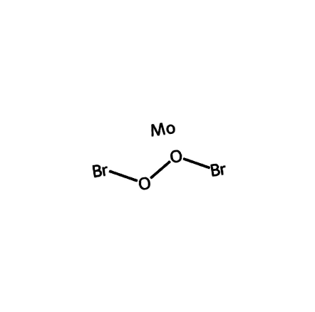 BrOOBr.[Mo]